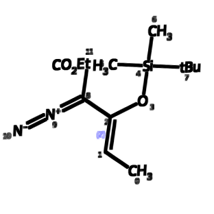 C/C=C(\O[Si](C)(C)C(C)(C)C)C(=[N+]=[N-])C(=O)OCC